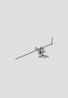 CCCCC/C=C\CCCCCCCC(=O)O[C@H](COC(=O)CCCCCCCCCCCCCCCCCCCC)COP(=O)(O)OC[C@@H](O)CO